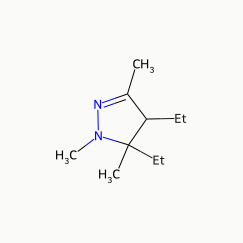 CCC1C(C)=NN(C)C1(C)CC